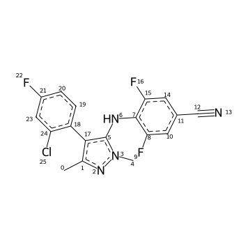 Cc1nn(C)c(Nc2c(F)cc(C#N)cc2F)c1-c1ccc(F)cc1Cl